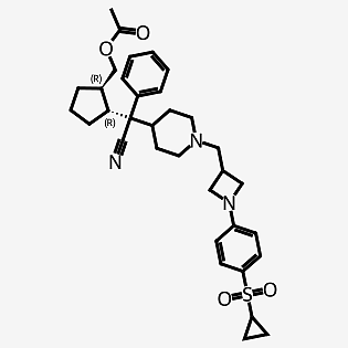 CC(=O)OC[C@@H]1CCC[C@H]1C(C#N)(c1ccccc1)C1CCN(CC2CN(c3ccc(S(=O)(=O)C4CC4)cc3)C2)CC1